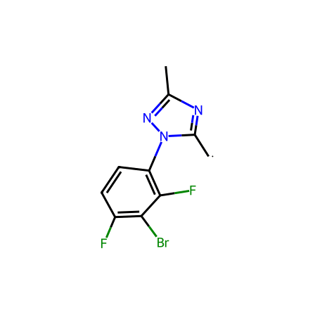 [CH2]c1nc(C)nn1-c1ccc(F)c(Br)c1F